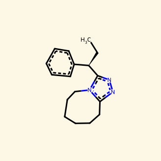 CC[C@H](c1ccccc1)c1nnc2n1CCCCCC2